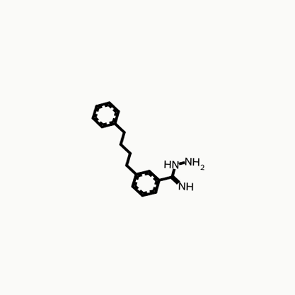 N=C(NN)c1cccc(CCCCc2ccccc2)c1